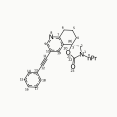 CCCN1C[C@]2(CCCc3ncc(C#Cc4ccccc4)cc32)OC1=O